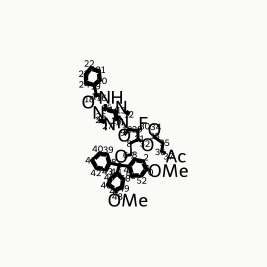 COc1ccc(C(OC[C@H]2O[C@@H](n3cnc4c(NC(=O)c5ccccc5)ncnc43)C(F)C2OC(=O)CCC(C)=O)(c2ccccc2)c2ccc(OC)cc2)cc1